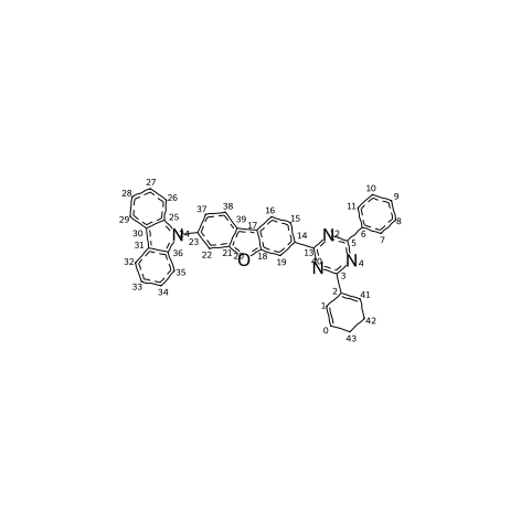 C1=CC(c2nc(-c3ccccc3)nc(-c3ccc4c(c3)oc3cc(-n5c6ccccc6c6ccccc65)ccc34)n2)=CCC1